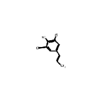 N#Cc1c(Cl)cc(C=CC(F)(F)F)cc1Cl